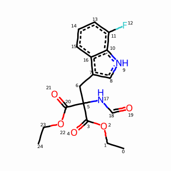 CCOC(=O)C(Cc1c[nH]c2c(F)cccc12)(NC=O)C(=O)OCC